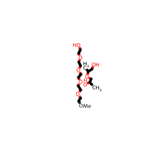 CC(O)COC(C)CO.COCCOCCOCCOCCOCCO